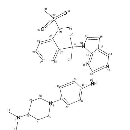 CN(C)C1CCN(c2ccc(Nc3ncc4ccn(C(C)(C)c5ccccc5N(C)S(C)(=O)=O)c4n3)cc2)CC1